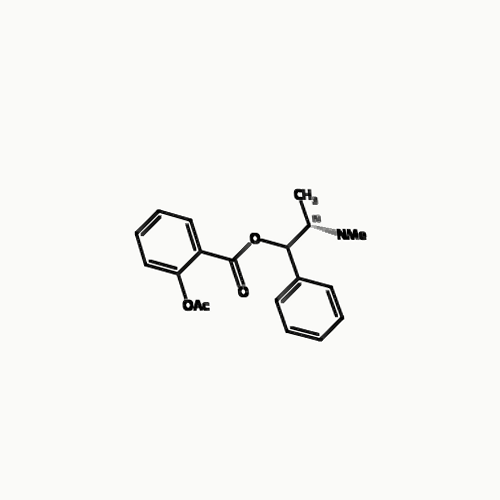 CN[C@@H](C)C(OC(=O)c1ccccc1OC(C)=O)c1ccccc1